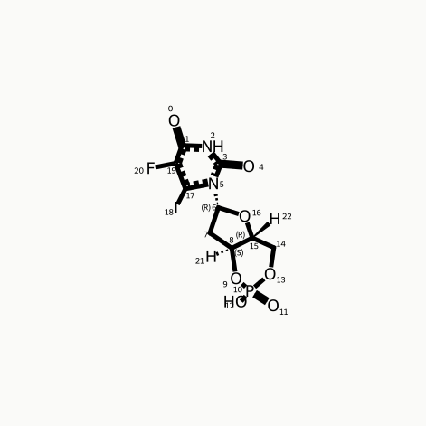 O=c1[nH]c(=O)n([C@H]2C[C@@H]3OP(=O)(O)OC[C@H]3O2)c(I)c1F